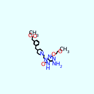 COCCOc1nc(N)c2[nH]c(=O)n(CCN3CCC(Cc4cccc(CC(=O)OC)c4)CC3)c2n1